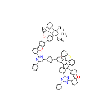 Cc1cc2c(c(C)c1C)-c1ccccc1C21c2ccccc2Oc2c(-c3ccc4c(c3)oc3c(-c5nc(-c6ccccc6)cc(-c6ccc(-c7ccc8c(c7)-c7ccc(-c9ccc%10oc%11cccc(-c%12nc(-c%13ccccc%13)nc(-c%13ccccc%13)n%12)c%11c%10c9)cc7C87c8ccccc8Sc8ccccc87)cc6)n5)cccc34)cccc21